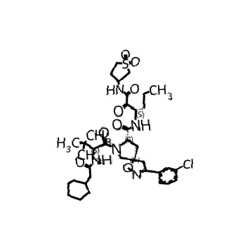 CCC[C@H](NC(=O)[C@@H]1C[C@]2(CC(c3cccc(Cl)c3)=NO2)CN1C(=O)[C@@H](NC(=O)CC1CCCCC1)C(C)(C)C)C(=O)C(=O)NC1CCS(=O)(=O)C1